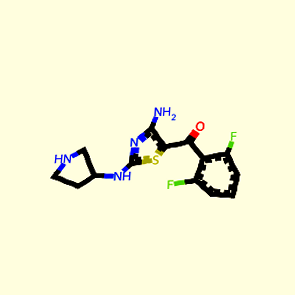 Nc1nc(NC2CCNC2)sc1C(=O)c1c(F)cccc1F